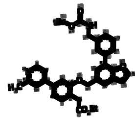 CCOC(=O)Cc1ccc(-c2ccnc(C)c2)cc1OCc1cc(-c2cccc(CNC(=O)OC(C)(C)C)c2)c2occc2c1